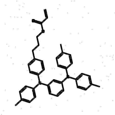 C=CC(=O)OCCCc1ccc(N(c2ccc(C)cc2)c2cccc(N(c3ccc(C)cc3)c3ccc(C)cc3)c2)cc1